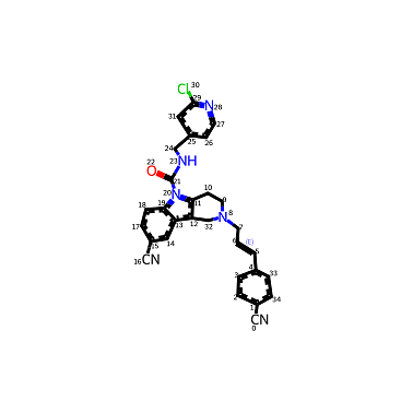 N#Cc1ccc(/C=C/CN2CCc3c(c4cc(C#N)ccc4n3C(=O)NCc3ccnc(Cl)c3)C2)cc1